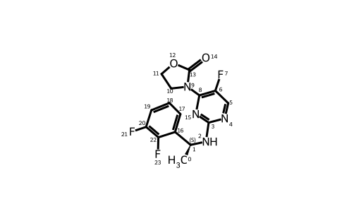 C[C@H](Nc1ncc(F)c(N2CCOC2=O)n1)c1cccc(F)c1F